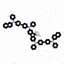 CC1(C)c2cc(N(c3ccccc3)c3ccc(-c4ccc(N(c5ccccc5)c5ccc6ccccc6c5)cc4)cc3)ccc2-c2ccc(N(c3ccccc3)c3ccc(-c4ccc(N(c5ccccc5)c5ccc6ccccc6c5)cc4)cc3)cc21